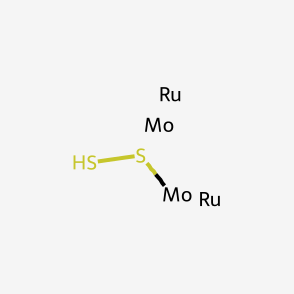 S[S][Mo].[Mo].[Ru].[Ru]